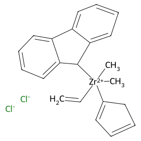 C=[CH][Zr+2]([CH3])([CH3])([C]1=CC=CC1)[CH]1c2ccccc2-c2ccccc21.[Cl-].[Cl-]